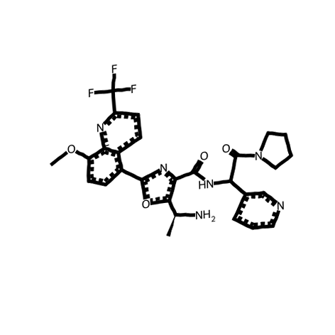 COc1ccc(-c2nc(C(=O)NC(C(=O)N3CCCC3)c3cccnc3)c([C@H](C)N)o2)c2ccc(C(F)(F)F)nc12